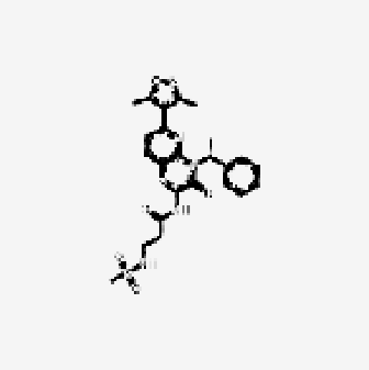 Cc1noc(C)c1-c1ccc2nc(NC(=O)CCNS(C)(=O)=O)c(=O)n([C@@H](C)c3ccccc3)c2n1